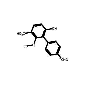 CCOc1c(C(=O)O)ccc(O)c1-c1ccc(C=O)cc1